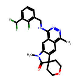 Cc1nnc(NCc2cccc(C(F)F)c2F)c2cc3c(cc12)C1(CCOCC1)C(=O)N3C